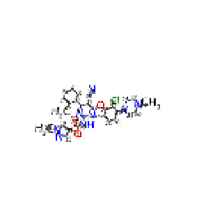 Cc1ccccc1-c1nc(NS(=O)(=O)c2cnn(C)c2)nc(Oc2cccc(N3CCN(C)CC3)c2Cl)c1C#N